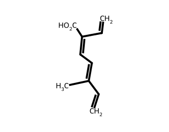 C=C/C(C)=C/C=C(\C=C)C(=O)O